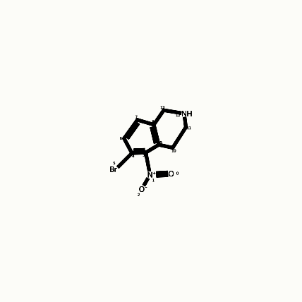 O=[N+]([O-])c1c(Br)ccc2c1CCNC2